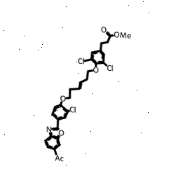 COC(=O)CCc1cc(Cl)c(OCC/C=C/CCOc2ccc(-c3nc4ccc(C(C)=O)cc4o3)cc2Cl)c(Cl)c1